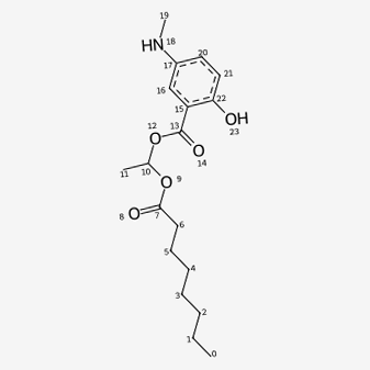 CCCCCCCC(=O)OC(C)OC(=O)c1cc(NC)ccc1O